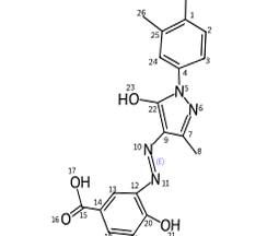 Cc1ccc(-n2nc(C)c(/N=N/c3cc(C(=O)O)ccc3O)c2O)cc1C